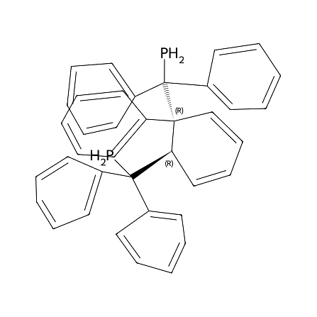 PC(c1ccccc1)(c1ccccc1)[C@@H]1C=CC=C[C@@]1(c1ccccc1)C(P)(c1ccccc1)c1ccccc1